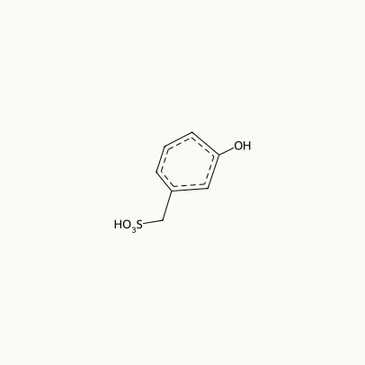 O=S(=O)(O)Cc1cccc(O)c1